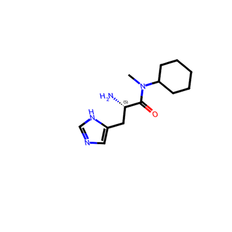 CN(C(=O)[C@@H](N)Cc1cnc[nH]1)C1CCCCC1